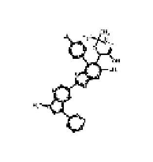 Cc1cc2nc(-c3cnc4c(c3)c(-c3cccnc3)cn4C)sc2c(-c2ccc(Cl)cc2)c1C(OC(C)(C)C)C(=O)O